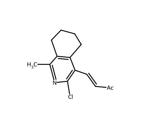 CC(=O)C=Cc1c(Cl)nc(C)c2c1CCCC2